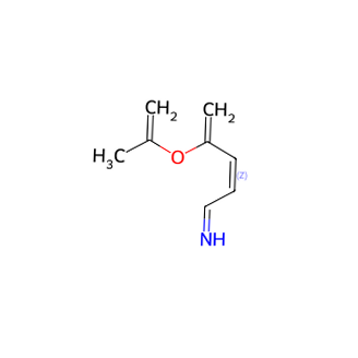 C=C(C)OC(=C)/C=C\C=N